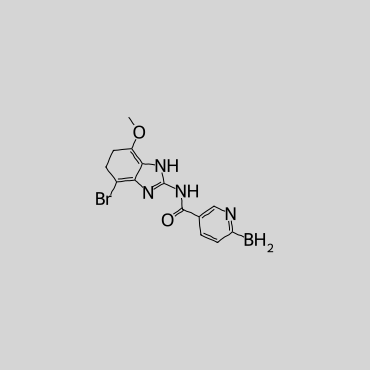 Bc1ccc(C(=O)Nc2nc3c([nH]2)=C(OC)CCC=3Br)cn1